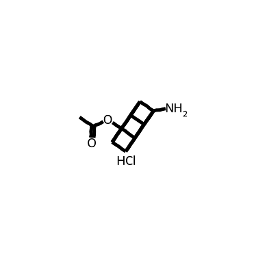 CC(=O)OC12C3C4C1C1C2C3C41N.Cl